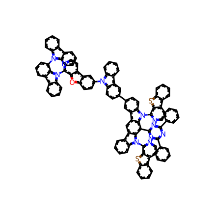 c1ccc(-c2nc(-c3ccccc3)nc(-c3c4c(cc5c6cc(-c7ccc8c(c7)c7ccccc7n8-c7ccc8oc9c(-n%10c%11ccccc%11c%11cccc(-n%12c%13ccccc%13c%13ccccc%13%12)c%11%10)nccc9c8c7)ccc6n(-c6nccc7c6sc6ccccc67)c35)c3ccccc3n4-c3nccc4c3sc3ccccc34)n2)cc1